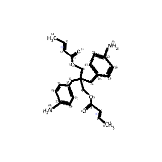 C/C=C/C(=O)OCC(COC(=O)/C=C/C)(Cc1ccc(N)cc1)Cc1ccc(N)cc1